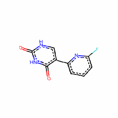 O=c1[nH]cc(-c2cccc(F)n2)c(=O)[nH]1